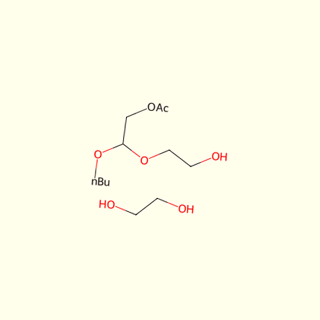 CCCCOC(COC(C)=O)OCCO.OCCO